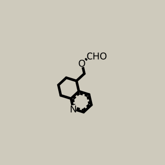 O=COCC1CCCc2ncccc21